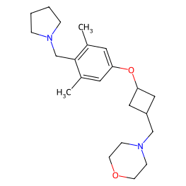 Cc1cc(OC2CC(CN3CCOCC3)C2)cc(C)c1CN1CCCC1